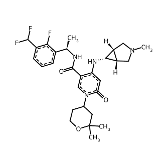 C[C@@H](NC(=O)c1cn(C2CCOC(C)(C)C2)c(=O)cc1N[C@@H]1[C@@H]2CN(C)C[C@@H]21)c1cccc(C(F)F)c1F